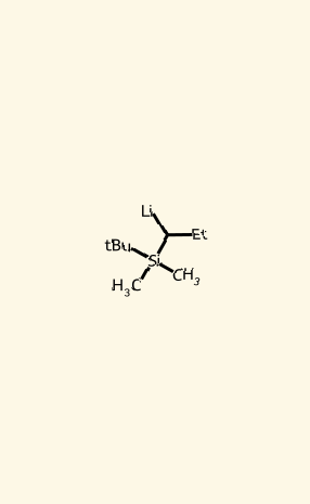 [Li][CH](CC)[Si](C)(C)C(C)(C)C